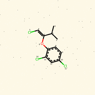 CC(C)/C(=C/Cl)Oc1ccc(Cl)cc1Cl